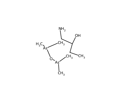 CCC(O)CN.C[As](C)O[As](C)C